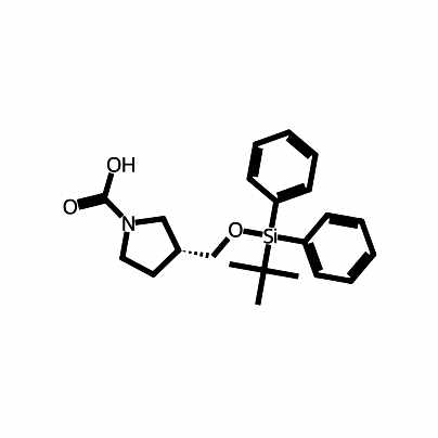 CC(C)(C)[Si](OC[C@@H]1CCN(C(=O)O)C1)(c1ccccc1)c1ccccc1